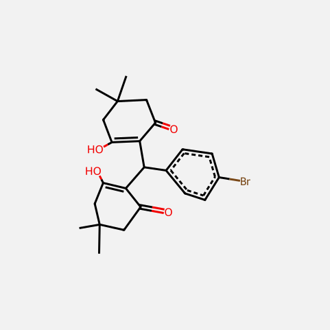 CC1(C)CC(=O)C(C(C2=C(O)CC(C)(C)CC2=O)c2ccc(Br)cc2)=C(O)C1